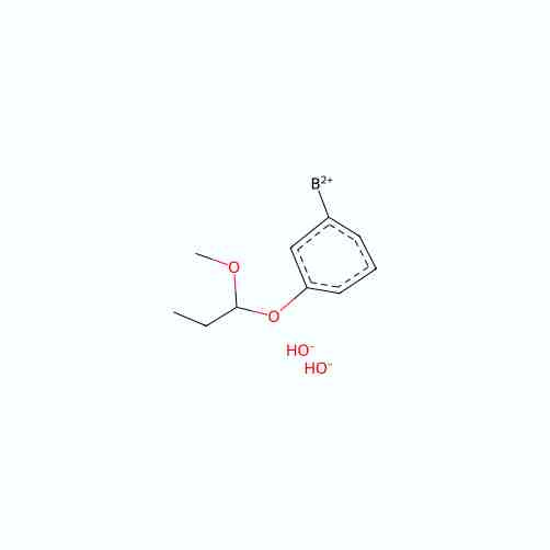 [B+2]c1cccc(OC(CC)OC)c1.[OH-].[OH-]